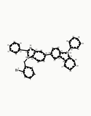 Brc1ccccc1Cn1c(-c2ccccc2)nc2cc(-c3ccc4c(c3)c3ccccc3n4-c3ccccc3)ccc21